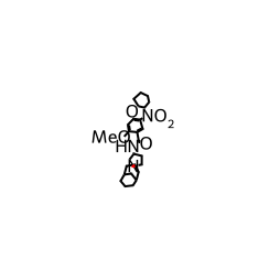 COc1cc(OC2CCCCC2)c([N+](=O)[O-])cc1C(=O)NC1CCN(C2C3CCCC2CCC3)C1